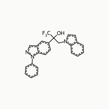 OC(Cn1ccc2ccccc21)(c1ccc2c(cnn2-c2ccccc2)c1)C(F)(F)F